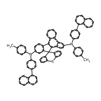 Cc1ccc(N(c2ccc(-c3cccc4ccccc34)cc2)c2ccc3c(c2)C2(c4ccccc4Sc4ccccc42)c2c-3c3ccccc3c3cc(N(c4ccc(C)cc4)c4ccc(-c5cccc6ccccc56)cc4)ccc23)cc1